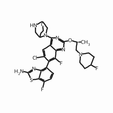 C[C@@H](CN1CCC(F)CC1)Oc1nc(N2CC3CCCC2CN3)c2cc(Cl)c(-c3ccc(F)c4sc(N)nc34)c(F)c2n1